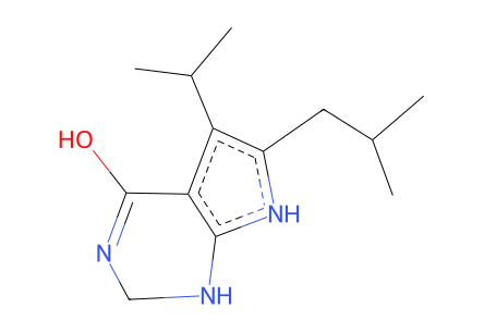 CC(C)Cc1[nH]c2c(c1C(C)C)C(O)=NCN2